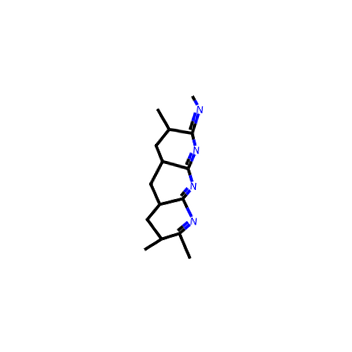 C/N=C1/N=C2N=C3N=C(C)C(C)CC3CC2CC1C